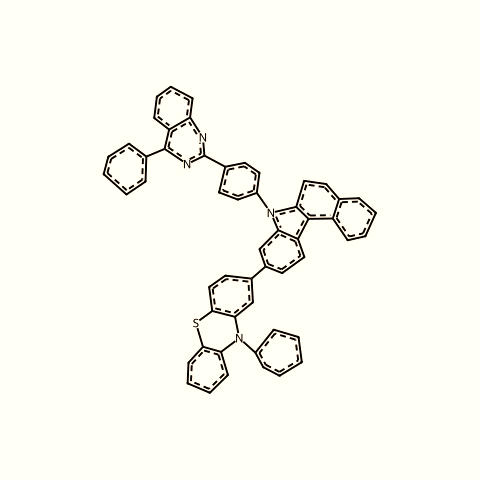 c1ccc(-c2nc(-c3ccc(-n4c5cc(-c6ccc7c(c6)N(c6ccccc6)c6ccccc6S7)ccc5c5c6ccccc6ccc54)cc3)nc3ccccc23)cc1